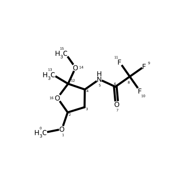 COC1CC(NC(=O)C(F)(F)F)C(C)(OC)O1